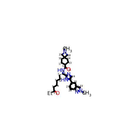 CCC(=O)CCCCC[C@H](NC(=O)C1CCC2(CC1)CN(C)C2)c1ncc(-c2ccc3nn(C)cc3c2)[nH]1